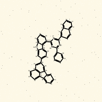 c1ccc(-c2nc(-c3ccc4ccccc4c3)nc(-c3cccc4oc5cc(-c6cc7c8c(cccc8c6)-c6ccccc6-7)ccc5c34)n2)cc1